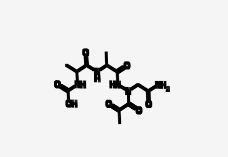 CC(=O)C(=O)N(CC(N)=O)NC(=O)C(C)NC(=O)C(C)NC(=O)O